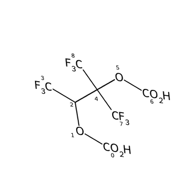 O=C(O)OC(C(F)(F)F)C(OC(=O)O)(C(F)(F)F)C(F)(F)F